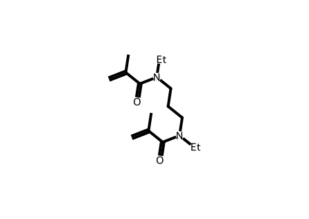 C=C(C)C(=O)N(CC)CCCN(CC)C(=O)C(=C)C